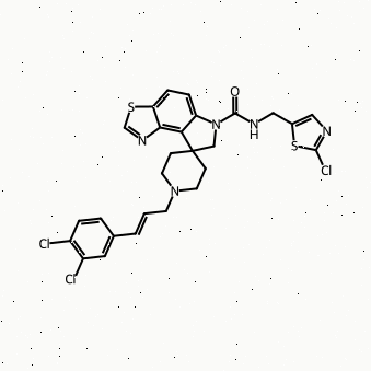 O=C(NCc1cnc(Cl)s1)N1CC2(CCN(CC=Cc3ccc(Cl)c(Cl)c3)CC2)c2c1ccc1scnc21